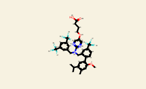 COc1cc(C)c(C(C)C)cc1-c1ccc(C(F)(F)F)cc1CN(Cc1cc(C(F)(F)F)cc(C(F)(F)F)c1)c1ncc(OCCCC(=O)O)cn1